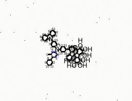 C=C/C=C(\C=C/CC1=CCCC=C1)N(c1ccc(-c2cccc3c2-c2ccccc2C32c3c(O)c(O)c(O)c(O)c3-c3c(O)c(O)c(O)c(O)c32)cc1)c1ccc(-n2c3ccccc3c3ccccc32)cc1